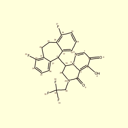 O=C1c2c(O)c(=O)cnn2C(C2c3cccc(F)c3CCc3c(F)cccc32)CN1CC(F)(F)F